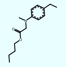 CCCCOC(=O)CN(C)c1ccc(CC)cc1